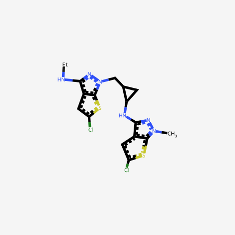 CCNc1nn(CC2CC2Nc2nn(C)c3sc(Cl)cc23)c2sc(Cl)cc12